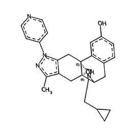 Cc1nn(-c2ccncc2)c2c1C[C@]1(O)C3Cc4ccc(O)cc4[C@]1(CCN3CC1CC1)C2